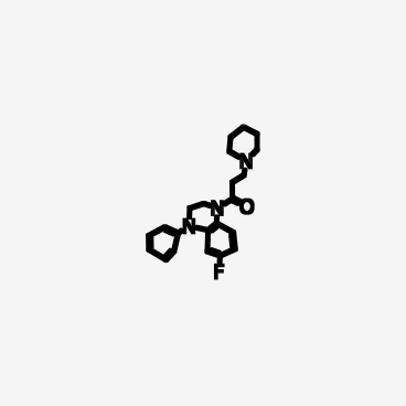 O=C(CCN1CCCCC1)N1CCN(c2ccccc2)c2cc(F)ccc21